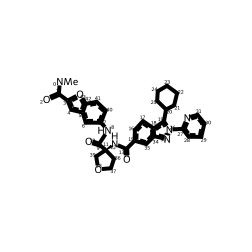 CNC(=O)c1cc2cc(NC(=O)[C@]3(NC(=O)c4ccc5c(C6CCCCC6)n(-c6ccccn6)nc5c4)CCOC3)ccc2o1